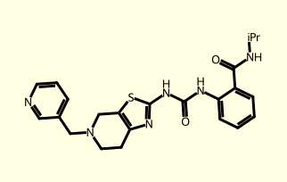 CC(C)NC(=O)c1ccccc1NC(=O)Nc1nc2c(s1)CN(Cc1cccnc1)CC2